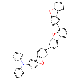 c1ccc(N(c2ccccc2)c2ccc3oc4cc(-c5ccc6c(c5)oc5c(-c7ccc8oc9ccccc9c8c7)cccc56)ccc4c3c2)cc1